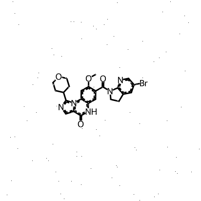 COc1cc2c(cc1C(=O)N1CCc3cc(Br)cnc31)[nH]c(=O)c1cnc(C3CCOCC3)n12